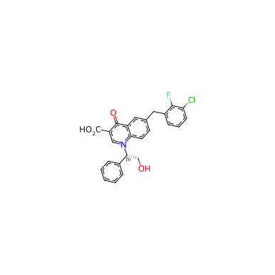 O=C(O)c1cn([C@H](CO)c2ccccc2)c2ccc(Cc3cccc(Cl)c3F)cc2c1=O